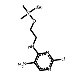 CC(C)(C)[Si](C)(C)OCCNc1nc(Cl)ncc1N